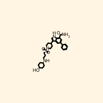 NC(=O)c1cc(-c2ccccc2)cc2c(C3CCN(S(=O)(=O)CCCNC4CCC(O)CC4)CC3)c[nH]c12